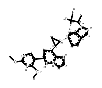 COc1ncc(-c2cc([C@H]3C[C@@H]3c3ccc4cnn(C(C)C(F)(F)F)c4c3)c3nccn3n2)c(OC)n1